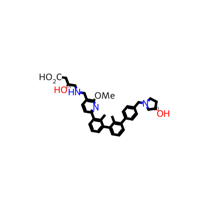 COc1nc(-c2cccc(-c3cccc(-c4ccc(CN5CC[C@@H](O)C5)cc4)c3C)c2C)ccc1CNC[C@@H](O)CC(=O)O